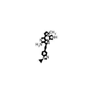 Cn1ccc(-c2cnc(N)c3c(C#Cc4ccc5c(c4)ncn5C4CC4)nn(C4CCNC4)c23)n1